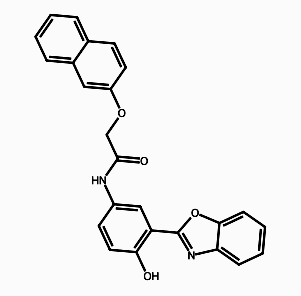 O=C(COc1ccc2ccccc2c1)Nc1ccc(O)c(-c2nc3ccccc3o2)c1